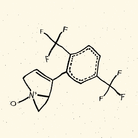 [O-][N+]12CC=C(c3cc(C(F)(F)F)ccc3C(F)(F)F)C1C2